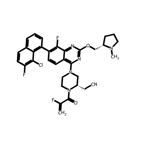 C=C(F)C(=O)N1CCN(c2nc(OC[C@@H]3CCCN3C)nc3c(F)c(-c4cccc5ccc(F)c(Cl)c45)ccc23)C[C@@H]1CC#N